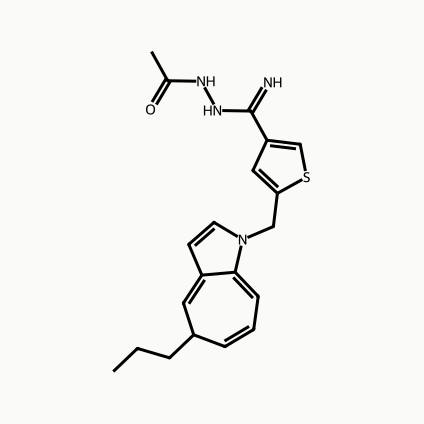 CCCC1C=CC=c2c(ccn2Cc2cc(C(=N)NNC(C)=O)cs2)=C1